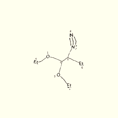 CCOC(OCC)C(CC)[N+]#N